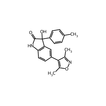 Cc1ccc(C2(O)C(=O)Nc3ccc(-c4c(C)noc4C)cc32)cc1